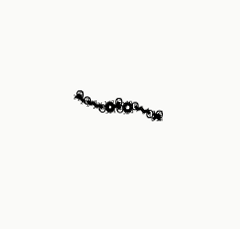 CC1(COCCCCOC2CCC(OC(=O)c3ccc(OCCCCOCC4CO4)cc3)CC2)CO1